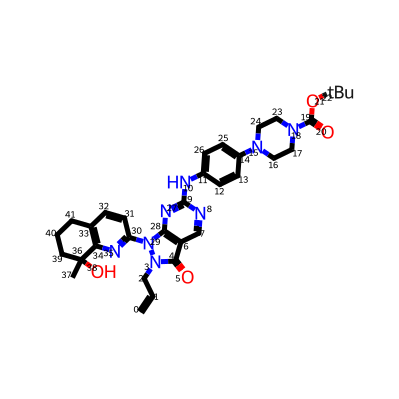 C=CCn1c(=O)c2cnc(Nc3ccc(N4CCN(C(=O)OC(C)(C)C)CC4)cc3)nc2n1-c1ccc2c(n1)C(C)(O)CCC2